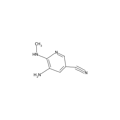 CNc1ncc(C#N)cc1N